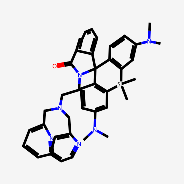 CN(C)c1ccc2c(c1)[Si](C)(C)c1cc(N(C)C)ccc1C21c2ccccc2C(=O)N1CCN(Cc1ccccn1)Cc1ccccn1